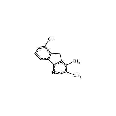 Cc1cnc2c(c1C)Cc1c(C)cccc1-2